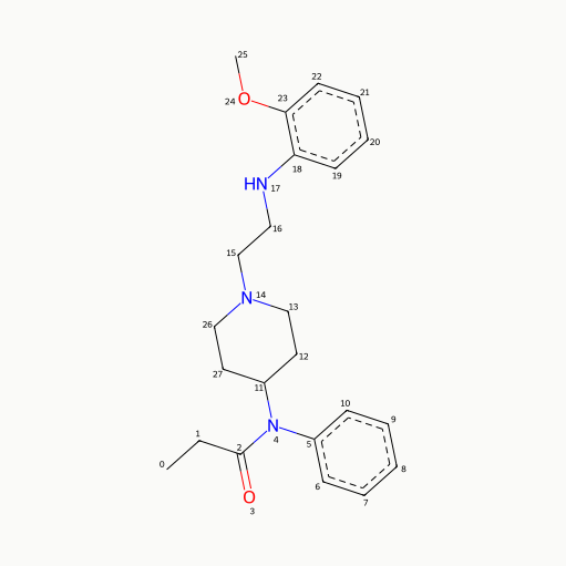 CCC(=O)N(c1ccccc1)C1CCN(CCNc2ccccc2OC)CC1